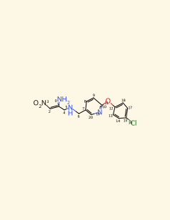 NC(=C[N+](=O)[O-])CNCc1ccc(Oc2ccc(Cl)cc2)nc1